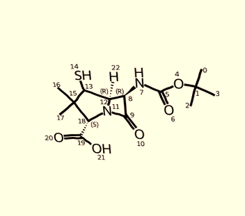 CC(C)(C)OC(=O)N[C@H]1C(=O)N2[C@H]1C(S)C(C)(C)[C@H]2C(=O)O